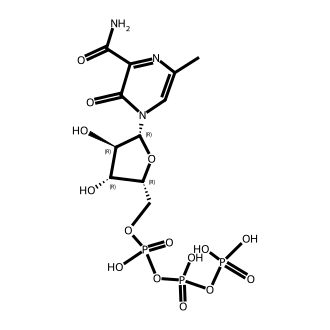 Cc1cn([C@@H]2O[C@H](COP(=O)(O)OP(=O)(O)OP(=O)(O)O)[C@H](O)[C@H]2O)c(=O)c(C(N)=O)n1